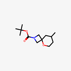 CC1CCOC2(C1)CN(C(=O)OC(C)(C)C)C2